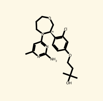 Cc1cc(N2CCCOC[C@H]2c2ccc(OCCC(C)(C)O)cc2Cl)nc(N)n1